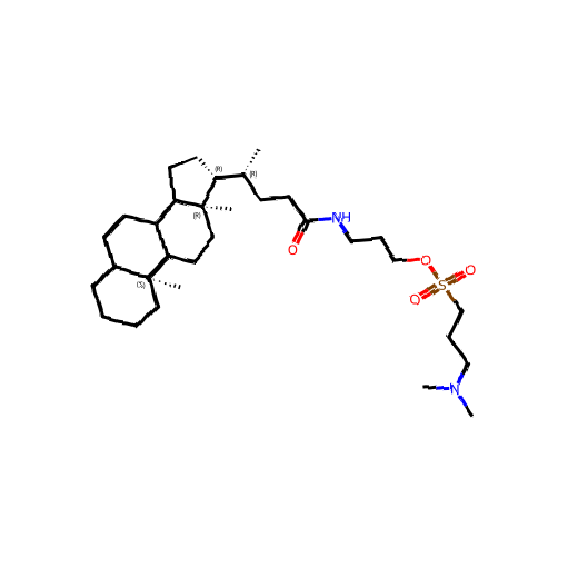 C[C@H](CCC(=O)NCCCOS(=O)(=O)CCCN(C)C)[C@H]1CCC2C3CCC4CCCC[C@]4(C)C3CC[C@@]21C